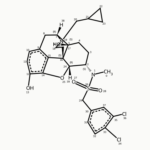 CN([C@H]1CC[C@@]2(O)[C@H]3Cc4ccc(O)c5c4[C@@]2(CCN3CC2CC2)[C@H]1O5)S(=O)(=O)Cc1ccc(Cl)c(Cl)c1